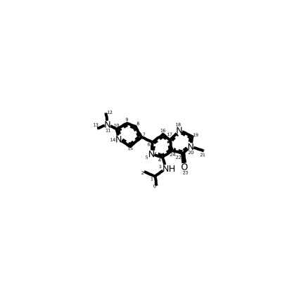 CC(C)Nc1nc(-c2ccc(N(C)C)nc2)cc2ncn(C)c(=O)c12